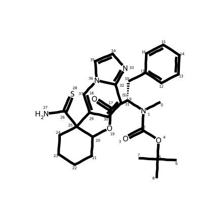 CN(C(=O)OC(C)(C)C)[C@@H](Cc1ccccc1)C(=O)OC1CCCCC1(C(N)=S)c1ccc2nccn2c1